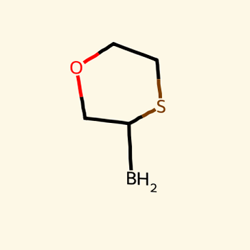 BC1COCCS1